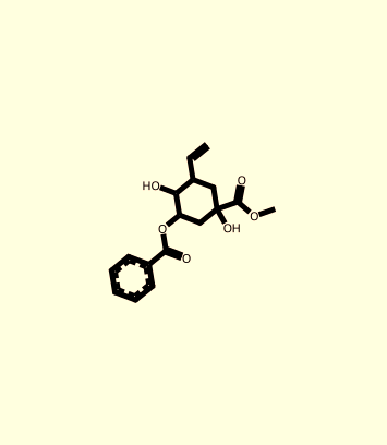 C=CC1CC(O)(C(=O)OC)CC(OC(=O)c2ccccc2)C1O